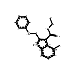 CCOC(=O)c1c(CSc2ccccc2)[nH]c2cccc(C)c12